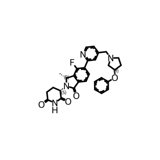 C[C@@H]1c2c(ccc(-c3cc(CN4CC[C@@H](Oc5ccccc5)C4)ccn3)c2F)C(=O)N1[C@H]1CCC(=O)NC1=O